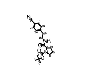 CC(C)(C)OC(=O)N1CCCC1C(=O)NCCc1ccc(C#N)cc1